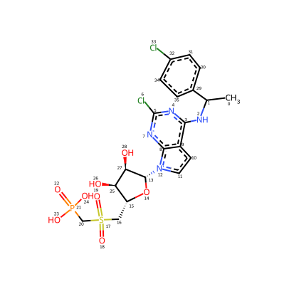 CC(Nc1nc(Cl)nc2c1ccn2[C@@H]1O[C@H](CS(=O)(=O)CP(=O)(O)O)[C@@H](O)[C@H]1O)c1ccc(Cl)cc1